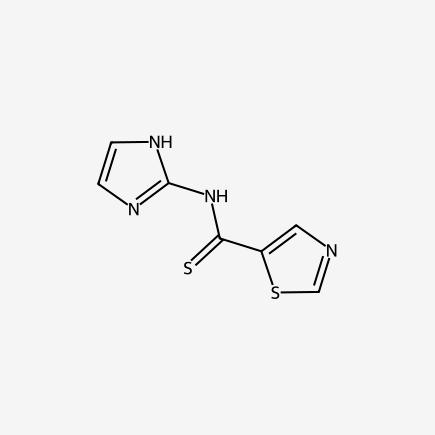 S=C(Nc1ncc[nH]1)c1cncs1